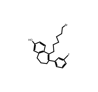 Oc1ccc2c(c1)CCCC(c1cccc(F)c1)=C2CCCCCCBr